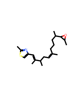 C/C(=C/CC(C)/C(C)=C/c1csc(C)n1)CCCC(C)C1OC1C